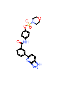 O=C(Nc1ccc(OS(=O)(=O)N2CCOCC2)cc1)c1cccc(-c2ccc3[nH]nnc3n2)c1